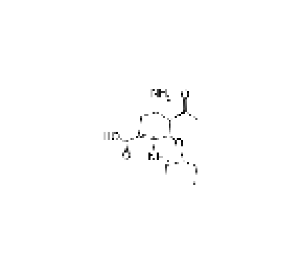 CCC(CC)O[C@H]1C(N)=C(C(=O)O)C[C@H](N)[C@H]1C(C)=O